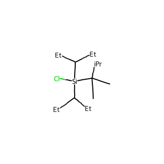 CCC(CC)[Si](Cl)(C(CC)CC)C(C)(C)C(C)C